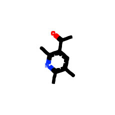 CC(=O)c1cc(C)c(C)nc1C